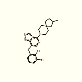 CC1CCC2(CCN(c3ncc(Sc4cccc(Cl)c4Cl)c4nncn34)CC2)C1